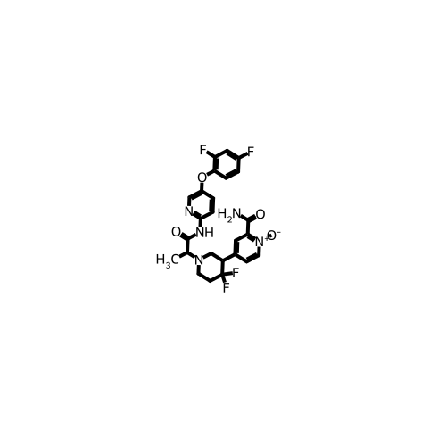 CC(C(=O)Nc1ccc(Oc2ccc(F)cc2F)cn1)N1CCC(F)(F)C(c2cc[n+]([O-])c(C(N)=O)c2)C1